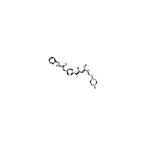 C=N/C(=C\C(F)=C(/C)c1ccc(CC(=O)NCc2ccccc2)cc1)OCCN1CCN(C)CC1